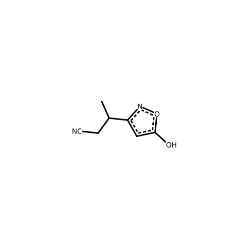 CC(CC#N)c1cc(O)on1